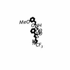 COc1cccc(CC(=O)NN=COS(=O)(=O)c2sc(-c3cc(C(F)(F)F)n(C)n3)cc2-c2ccccc2)c1